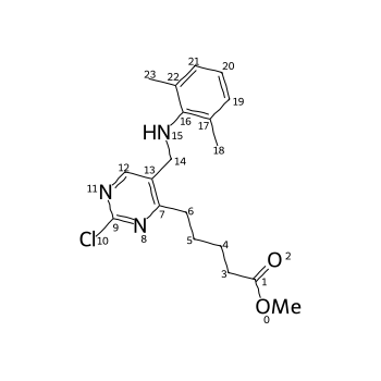 COC(=O)CCCCc1nc(Cl)ncc1CNc1c(C)cccc1C